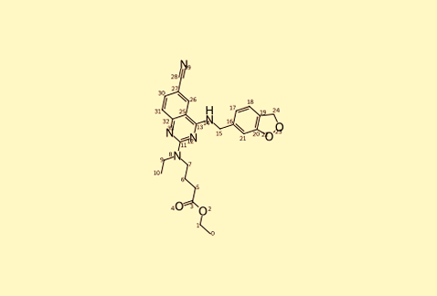 CCOC(=O)CCCN(CC)c1nc(NCc2ccc3c(c2)OOC3)c2cc(C#N)ccc2n1